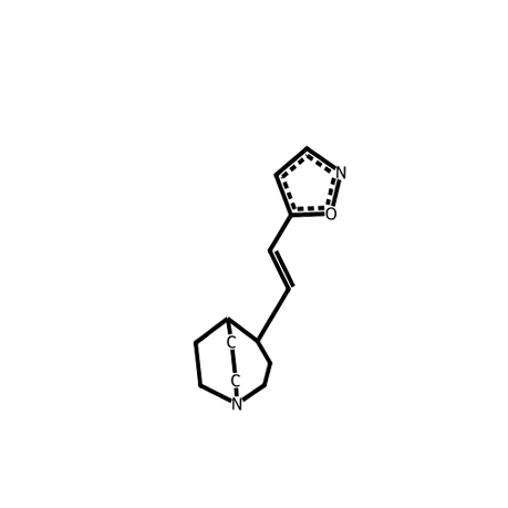 C(=CC1CCN2CCC1CC2)c1ccno1